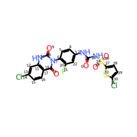 O=C(Nc1ccc(-n2c(=O)[nH]c3cc(Cl)ccc3c2=O)c(F)c1)NS(=O)(=O)c1ccc(Cl)s1